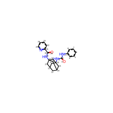 O=C(Nc1ccccc1)NC12CC3CC(C1)CC(NC(=O)c1ccccn1)(C3)C2